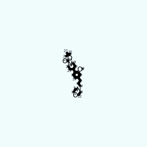 COc1cc(CCCN2CCOCC2)ccc1C1CCN(C(=O)OC(C)(C)C)CC1